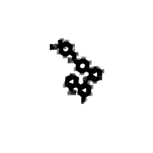 CC(C)c1ncncc1-c1cc(F)ccc1Oc1cncnc1N1CCC(NCC2CCC(C)(C#N)CC2)CC1